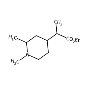 CCOC(=O)C(C)C1CCN(C)C(C)C1